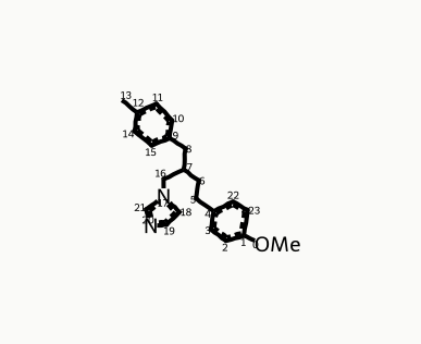 COc1ccc(CCC(Cc2ccc(C)cc2)Cn2ccnc2)cc1